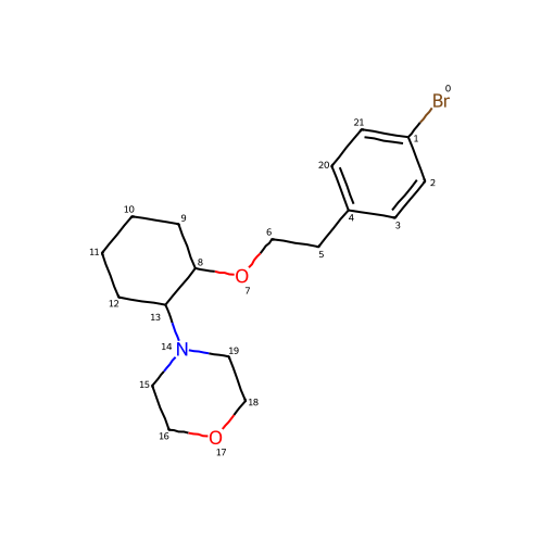 Brc1ccc(CCOC2CCCCC2N2CCOCC2)cc1